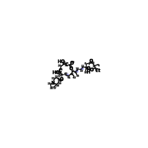 CCC(O)C(C)C1OC1CC(C)(O)/C=C/C=C(\C)C1OC(=O)CC(O)CCC(C)(O)C(ON2CCN3CCCC3C2)/C=C/C1C